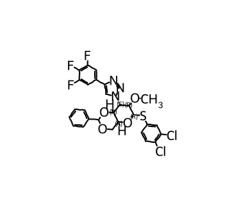 CO[C@@H]1[C@@H](n2cc(-c3cc(F)c(F)c(F)c3)nn2)[C@H]2OC(c3ccccc3)OC[C@H]2O[C@@H]1Sc1ccc(Cl)c(Cl)c1